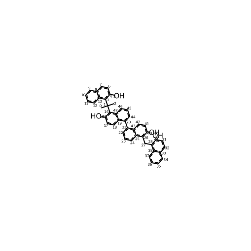 CC(C)(c1c(O)ccc2ccccc12)c1c(O)ccc2c(-c3cccc4c(Cc5c(O)ccc6ccccc56)c(O)ccc34)cccc12